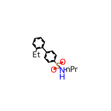 CCCNS(=O)(=O)c1ccc(-c2ccccc2CC)cc1